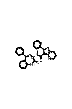 O=C(N[C@H]1N=C(c2ccccc2)c2ccccc2NC1=O)c1c(-c2ccccc2)nc2cccnn12